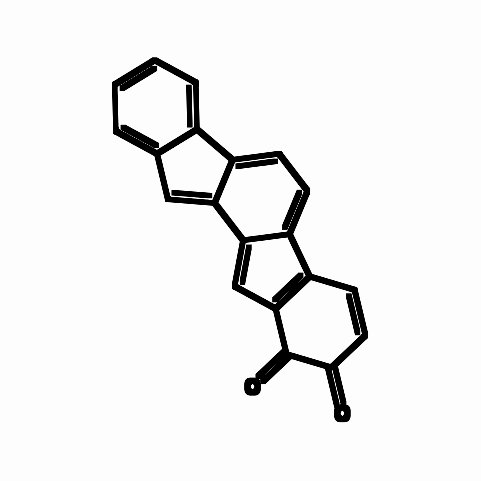 O=c1ccc2c3ccc4c5ccccc5cc4c3cc=2c1=O